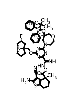 CC(C)(C)[Si](O[C@@]1(C)COCCN(c2nc(OC[C@@]34CCCN3C[C@H](F)C4)nc(C(=N)NOC(=O)[C@@]3(C)CCCc4sc(N)c(C#N)c43)n2)C1)(c1ccccc1)c1ccccc1